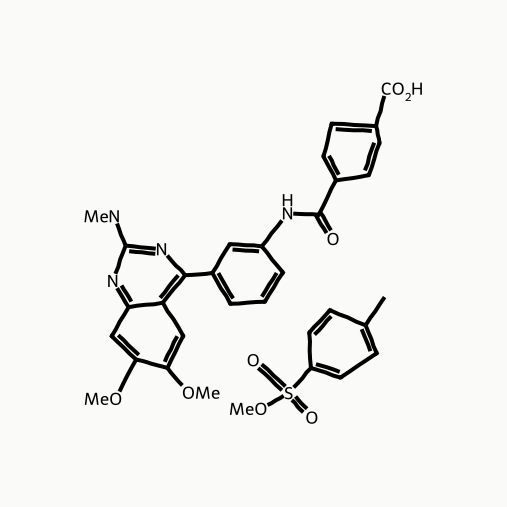 CNc1nc(-c2cccc(NC(=O)c3ccc(C(=O)O)cc3)c2)c2cc(OC)c(OC)cc2n1.COS(=O)(=O)c1ccc(C)cc1